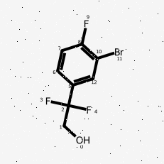 OCC(F)(F)c1ccc(F)c(Br)c1